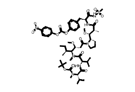 CC[C@H](C)[C@@H]([C@@H](CC(=O)N1CCC[C@H]1[C@H](OC)[C@@H](C)C(=O)N[C@@H](Cc1ccc(OC(=O)Oc2ccc([N+](=O)[O-])cc2)cc1)C(=O)NS(C)(=O)=O)OC)N(C)C(=O)[C@@H](NC(=O)[C@H](C(C)C)N(C)C(=O)OC(C)(C)C)C(C)C